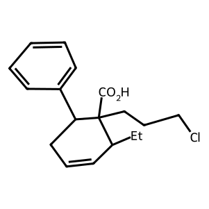 CCC1C=CCC(c2ccccc2)C1(CCCCl)C(=O)O